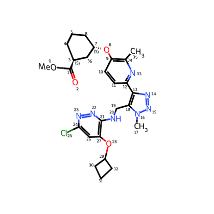 COC(=O)[C@H]1CCC[C@H](Oc2ccc(-c3nnn(C)c3CNc3nnc(Cl)cc3OC3CCC3)nc2C)C1